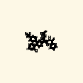 CC(=O)Nc1nn2c(-c3ccc(C(F)(F)F)cc3)c(-c3ccccc3Cl)cnc2c1C(=O)NC(C)c1ccccn1